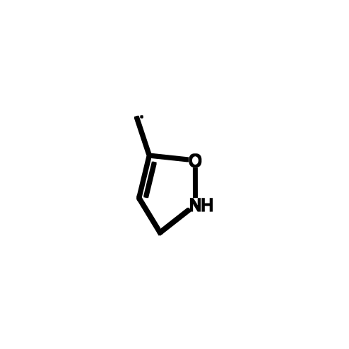 [CH2]C1=CCNO1